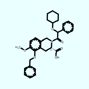 COc1ccc2c(c1OCc1ccccc1)C[C@@H](C(=O)O)N(C(=O)C(OC1CCCCC1)c1ccccc1)C2